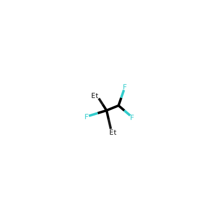 CCC(F)(CC)C(F)F